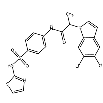 CC(C(=O)Nc1ccc(S(=O)(=O)Nc2nccs2)cc1)n1ccc2cc(Cl)c(Cl)cc21